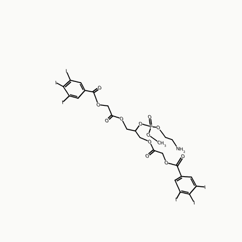 COP(=O)(OCCN)OC(COC(=O)COC(=O)c1cc(I)c(I)c(I)c1)COC(=O)COC(=O)c1cc(I)c(I)c(I)c1